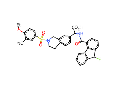 CCOc1ccc(S(=O)(=O)N2CCc3ccc(C(NC(=O)c4cccc5c4-c4ccccc4C5F)C(=O)O)cc3C2)cc1C#N